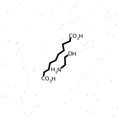 NCCO.O=C(O)CCCCCCCCC(=O)O